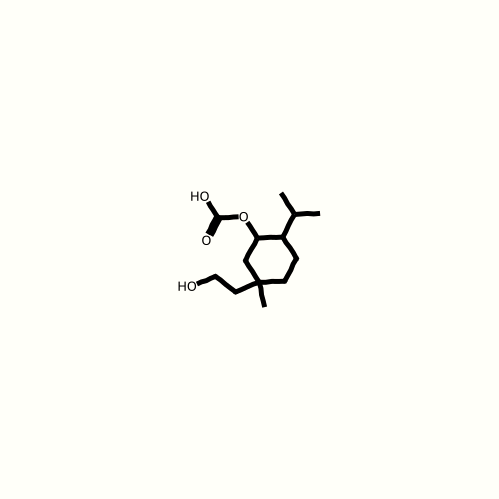 CC(C)C1CCC(C)(CCO)CC1OC(=O)O